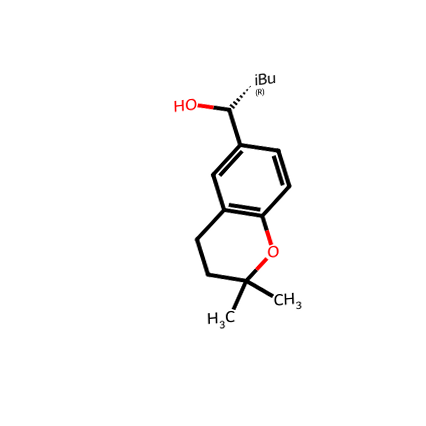 CC[C@@H](C)C(O)c1ccc2c(c1)CCC(C)(C)O2